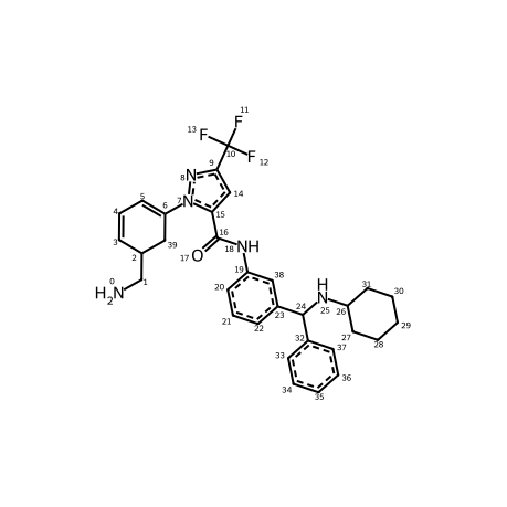 NCC1C=CC=C(n2nc(C(F)(F)F)cc2C(=O)Nc2cccc(C(NC3CCCCC3)c3ccccc3)c2)C1